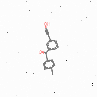 Cc1ccc(C(=O)c2cccc(C#CO)c2)cc1